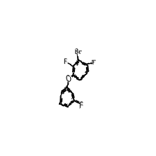 Fc1cccc(Oc2ccc(F)c(Br)c2F)c1